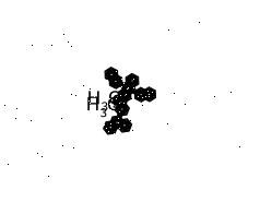 C[Si]1(C)c2cc(-c3cc4ccccc4c4ccccc34)ccc2-c2cc3c(-c4ccc5ccccc5c4)c4ccccc4c(-c4ccc5ccccc5c4)c3cc21